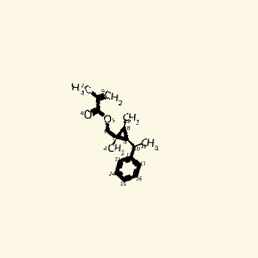 C=C(C)C(=O)OC[C@@]1(C)[C@H]([C@@H](C)c2ccccc2)[C@@H]1C